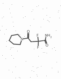 NC(=O)C(F)(F)CC(=O)N1CCCCC1